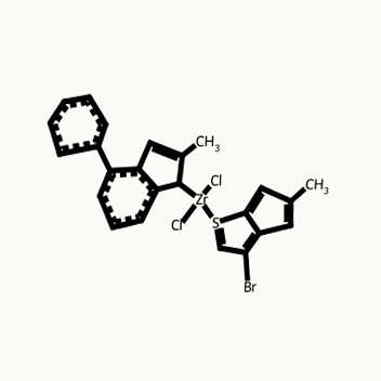 CC1=CC2=C(Br)C=[S]([Zr]([Cl])([Cl])[CH]3C(C)=Cc4c(-c5ccccc5)cccc43)C2=C1